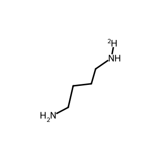 [2H]NCCCCN